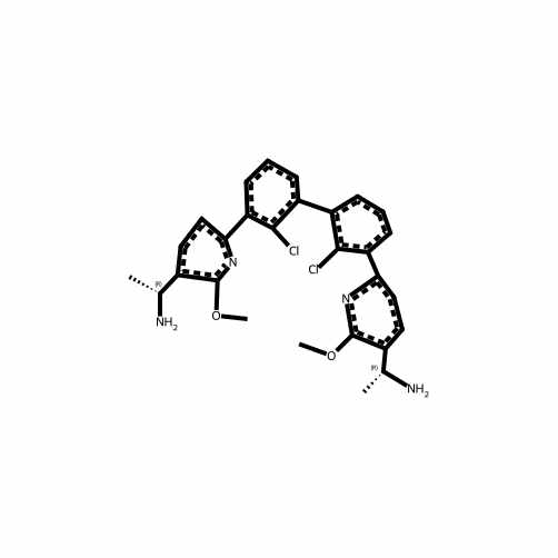 COc1nc(-c2cccc(-c3cccc(-c4ccc([C@@H](C)N)c(OC)n4)c3Cl)c2Cl)ccc1[C@@H](C)N